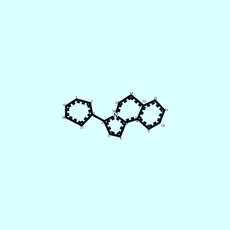 c1ccc(-c2ccc3c4ccccc4ccn23)cc1